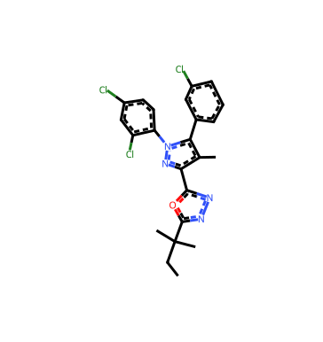 CCC(C)(C)c1nnc(-c2nn(-c3ccc(Cl)cc3Cl)c(-c3cccc(Cl)c3)c2C)o1